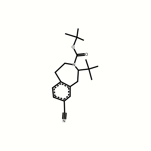 CC(C)(C)OC(=O)N1CCc2ccc(C#N)cc2CC1C(C)(C)C